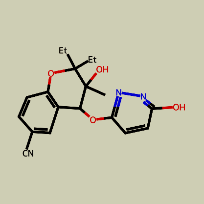 CCC1(CC)Oc2ccc(C#N)cc2C(Oc2ccc(O)nn2)C1(C)O